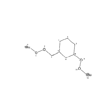 CC(C)(C)OOCC1CCCC(OOC(C)(C)C)C1